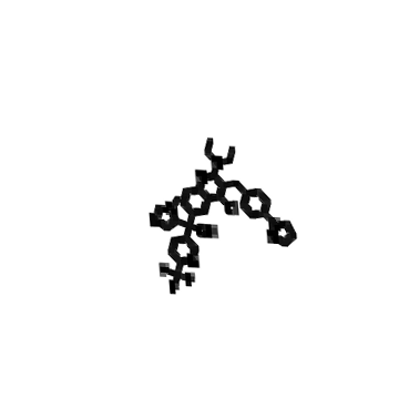 CCN(CC)c1nc2ccc(C(O)(c3ccc(C(F)(F)F)nc3)c3cncn3C)cc2c(Cl)c1Cc1ccc(-n2cccn2)cc1